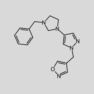 c1ccc(CN2CCN(c3cnn(Cc4cnoc4)c3)C2)cc1